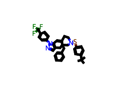 CC(C)(C)c1ccc(SN2CCC3=Cc4c(cnn4-c4ccc(C(F)(F)F)cc4)CC3(Cc3ccccc3)C2)cc1